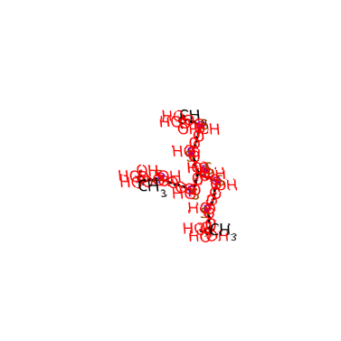 CC1[C@H](OCCCOP(O)(=S)OCCOCCOCCOP(O)(=S)OCCCOCC(COCCCOP(O)(=S)OCCOCCOCCOP(O)(=S)OCCCO[C@@H]2O[C@H](CO)[C@H](O)[C@H](O)C2C)(COCCCOP(O)(=S)OCCOCCOCCOP(O)(=S)OCCCO[C@@H]2O[C@H](CO)[C@H](O)[C@H](O)[C@@H]2C)COP(O)(O)=S)O[C@H](CO)[C@H](O)[C@@H]1O